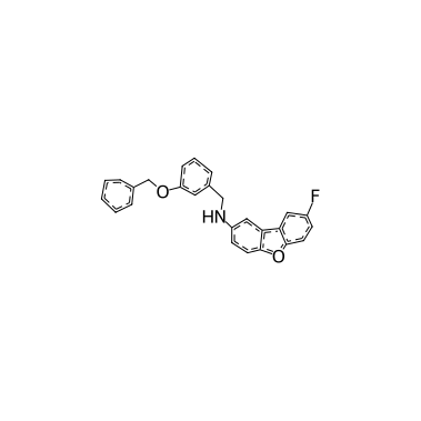 Fc1ccc2oc3ccc(NCc4cccc(OCc5ccccc5)c4)cc3c2c1